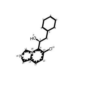 O[C@@H](CC1CCCCC1)c1c(Cl)ccc2cncn12